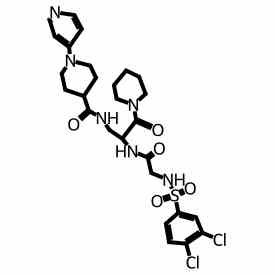 O=C(CNS(=O)(=O)c1ccc(Cl)c(Cl)c1)NC(CNC(=O)C1CCN(c2ccncc2)CC1)C(=O)N1CCCCC1